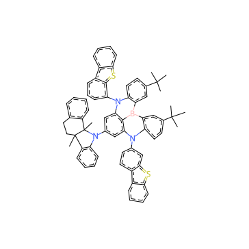 CC(C)(C)c1ccc2c(c1)B1c3cc(C(C)(C)C)ccc3N(c3cccc4c3sc3ccccc34)c3cc(N4c5ccccc5C5(C)CCc6ccccc6C45C)cc(c31)N2c1ccc2c(c1)sc1ccccc12